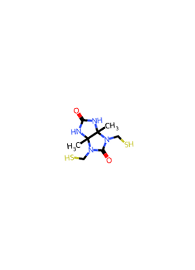 CC12NC(=O)NC1(C)N(CS)C(=O)N2CS